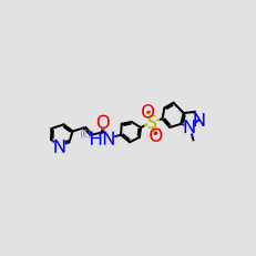 Cn1ncc2ccc(S(=O)(=O)c3ccc(NC(=O)/C=C/c4cccnc4)cc3)cc21